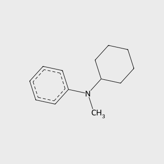 CN(c1ccccc1)C1CCCCC1